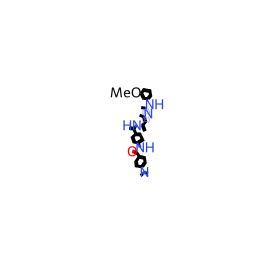 C=C(/C=C(C)/N=C(\C)Nc1cccc(OC)c1)NC(=C)c1ccc(NC(=O)c2ccc(N(C)C)cc2)cc1